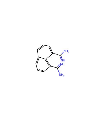 N=C(N)c1cccc2cccc(C(=N)N)c12